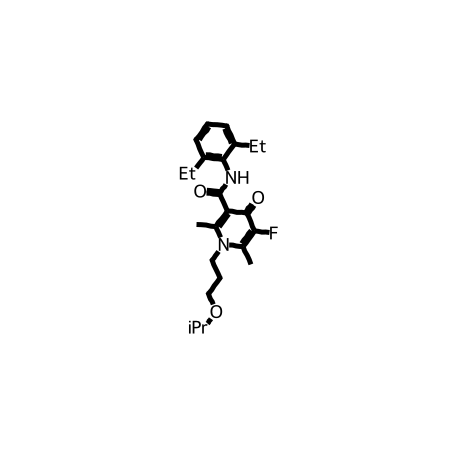 CCc1cccc(CC)c1NC(=O)c1c(C)n(CCCOC(C)C)c(C)c(F)c1=O